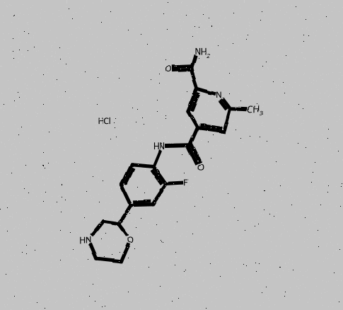 Cc1cc(C(=O)Nc2ccc(C3CNCCO3)cc2F)cc(C(N)=O)n1.Cl